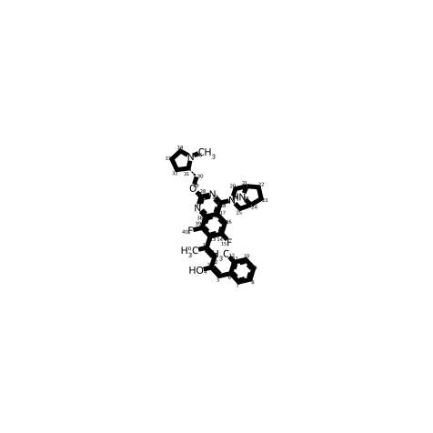 C/C(=C\C(O)=C/c1ccccc1C)c1c(F)cc2c(N3CC4CCC(C3)N4)nc(OC[C@@H]3CCCN3C)nc2c1F